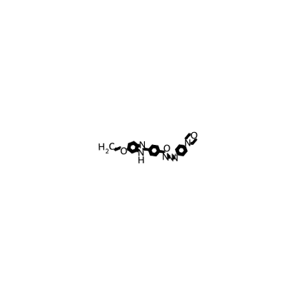 C=CCOc1ccc2nc(-c3ccc(C(=O)N=[N+]=Nc4ccc(N5CCOCC5)cc4)cc3)[nH]c2c1